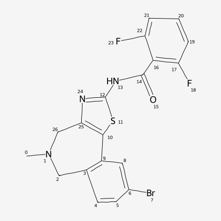 CN1Cc2ccc(Br)cc2-c2sc(NC(=O)c3c(F)cccc3F)nc2C1